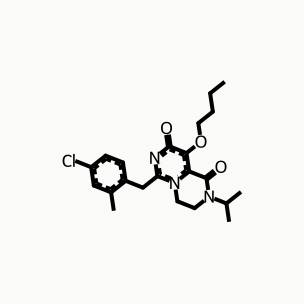 CCCCOc1c2n(c(Cc3ccc(Cl)cc3C)nc1=O)CCN(C(C)C)C2=O